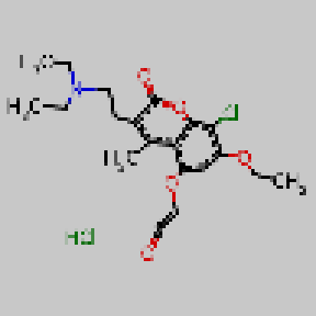 CCOc1cc(OC=C=O)c2c(C)c(CCN(CC)CC)c(=O)oc2c1Cl.Cl